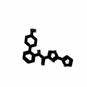 O=C(Nc1ccccc1N1CCC(O)CC1)c1csc(-c2cccs2)n1